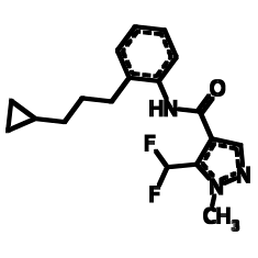 Cn1ncc(C(=O)Nc2ccccc2CCCC2CC2)c1C(F)F